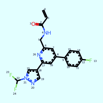 C=CC(=O)NCc1cc(-c2ccc(F)cc2)cc(-c2cnn(C(F)F)c2)n1